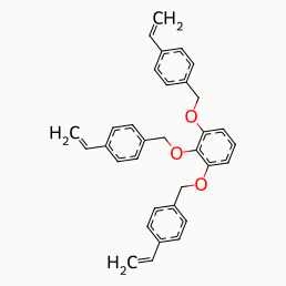 C=Cc1ccc(COc2cccc(OCc3ccc(C=C)cc3)c2OCc2ccc(C=C)cc2)cc1